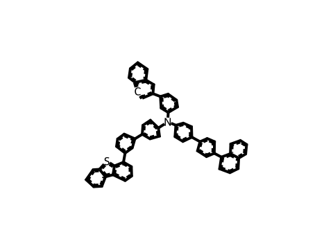 c1cc(-c2ccc(N(c3ccc(-c4ccc(-c5cccc6ccccc56)cc4)cc3)c3cccc(-c4ccc5ccccc5c4)c3)cc2)cc(-c2cccc3c2sc2ccccc23)c1